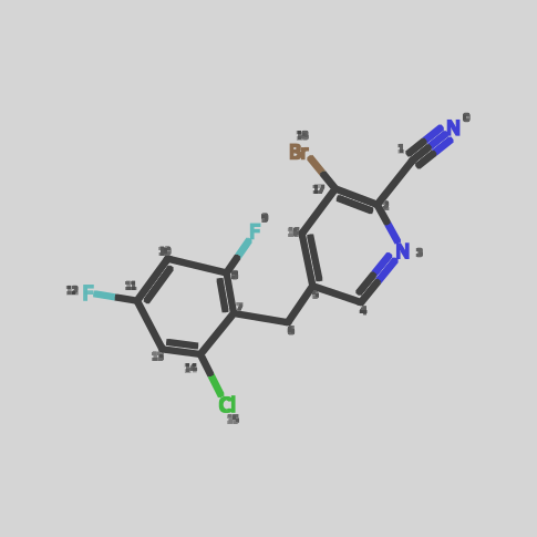 N#Cc1ncc(Cc2c(F)cc(F)cc2Cl)cc1Br